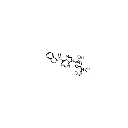 CN([C@@H]1C[C@@H](O)[C@H](n2cnc3c(N[C@H]4CCc5ccccc54)ncnc32)O1)S(=O)(=O)O